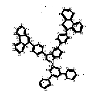 c1ccc(-c2cc(-c3ccccc3)cc(-n3cc(-c4ccc(-c5cc6ccccc6c6ccccc56)cc4)c4cc(-c5ccc(-c6cc7ccccc7c7ccccc67)cc5)ccc43)c2)cc1